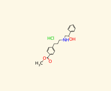 COC(=O)c1ccc(CCCNCC(O)c2ccccc2)cc1.Cl